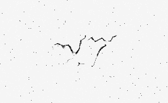 CC(=O)[O-].CCCCP(CCCC)CCCC.CCCCP(CCCC)CCCC.[Cu+]